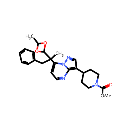 COC(=O)N1CCC(c2cnn3c(C(C)(Cc4ccccc4)C4OC(C)O4)ccnc23)CC1